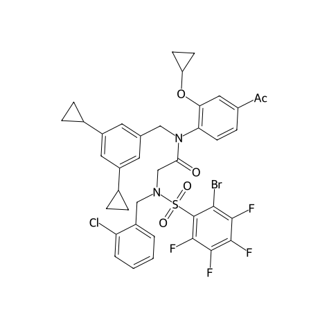 CC(=O)c1ccc(N(Cc2cc(C3CC3)cc(C3CC3)c2)C(=O)CN(Cc2ccccc2Cl)S(=O)(=O)c2c(F)c(F)c(F)c(F)c2Br)c(OC2CC2)c1